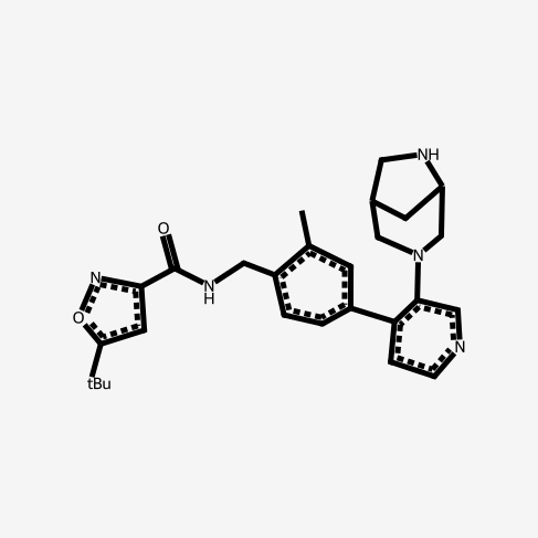 Cc1cc(-c2ccncc2N2CC3CNC(C3)C2)ccc1CNC(=O)c1cc(C(C)(C)C)on1